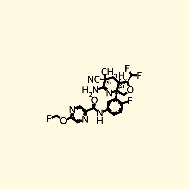 C[C@]1(C#N)C[C@@H]2[C@@H](C(F)F)OC[C@]2(c2cc(NC(=O)c3cnc(OCF)cn3)ccc2F)N=C1N